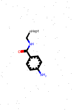 CCCCCCCCNC(=O)c1ccc(N)cc1